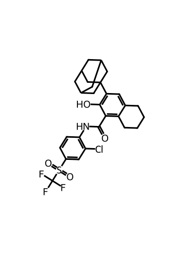 O=C(Nc1ccc(S(=O)(=O)C(F)(F)F)cc1Cl)c1c(O)c(C23CC4CC(CC(C4)C2)C3)cc2c1CCCC2